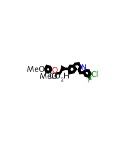 COc1ccc(O[C@H](CC2CC2c2cccc(/C=C\c3ccc4cc(F)c(Cl)cc4n3)c2)OC)c(C(=O)O)c1